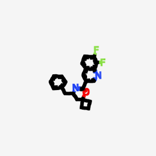 Fc1ccc2cc(C3=NC(Cc4ccccc4)CC4(CCC4)O3)cnc2c1F